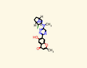 Cc1cc(=O)c2cc(O)c(-c3ncc(N(C)[C@@H]4C[C@H]5CC[C@H](N5)[C@@H]4F)nn3)cc2o1